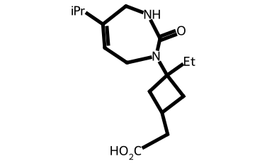 CCC1(N2CC=C(C(C)C)CNC2=O)CC(CC(=O)O)C1